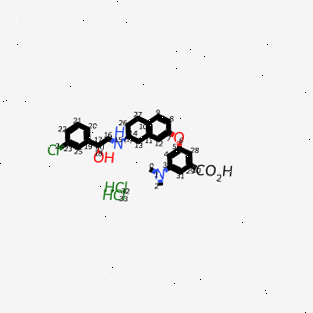 CN(C)c1cc(Oc2ccc3c(c2)C[C@@H](NC[C@H](O)c2cccc(Cl)c2)CC3)cc(C(=O)O)c1.Cl.Cl